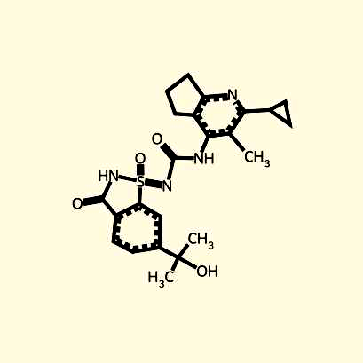 Cc1c(C2CC2)nc2c(c1NC(=O)N=S1(=O)NC(=O)c3ccc(C(C)(C)O)cc31)CCC2